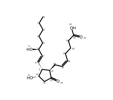 CCCCC[C@H](O)/C=C/[C@H]1[C@@H](O)CC(=O)[C@@H]1C/C=C\CCCC(=O)O